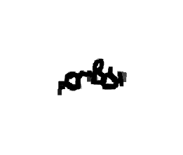 Cc1c(F)ccc2c1C(=O)N(Cc1ccc(F)cc1)C2